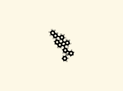 c1ccc(-n2c3ccccc3c3cc(-c4c5ccccc5c(-c5cccc(-c6ccc7ccccc7c6)c5)c5c4ccc4ccccc45)ccc32)cc1